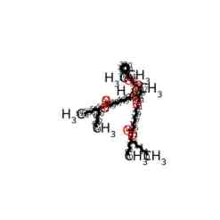 CCCCCCC(CCCC)COC(=O)CCCCCCCOCC(CC(C)(C)OCCOC(C)(C)c1ccccc1)OCCCCCCCC(=O)OCC(CCCCC)CCCCC